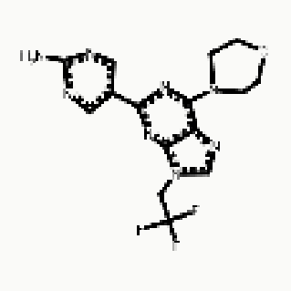 Nc1ncc(-c2nc(N3CCOCC3)c3ncn(CC(F)(F)F)c3n2)cn1